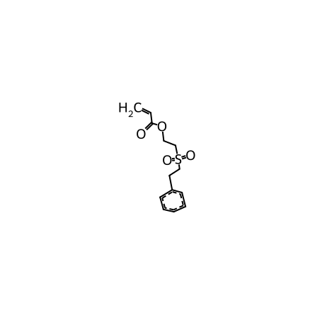 C=CC(=O)OCCS(=O)(=O)CCc1ccccc1